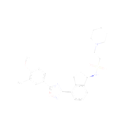 CC(C)Oc1ccc(-c2nc(-c3cccc4c3CC[C@H]4NS(=O)(=O)CCN3CCCCC3)no2)cc1C#N